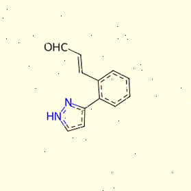 O=CC=Cc1ccccc1-c1cc[nH]n1